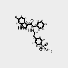 Cc1ccc2c(C(=O)[C@@H](NCCc3ccc(S(N)(=O)=O)cc3)c3ccccc3)c[nH]c2c1